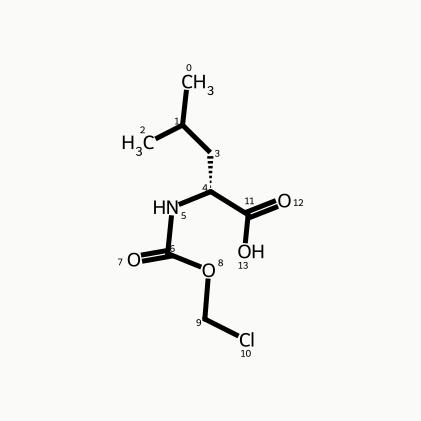 CC(C)C[C@@H](NC(=O)OCCl)C(=O)O